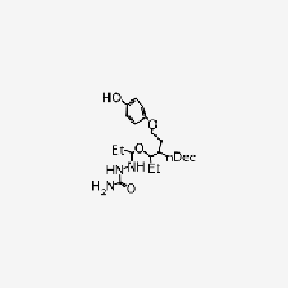 CCCCCCCCCCC(CCOc1ccc(O)cc1)C(CC)OC(CC)NNC(N)=O